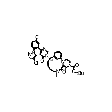 CC(C)(C)OC(=O)N1CCN2c3cccc(c3)[C@@H](n3cnc(-c4cc(Cl)ccc4-n4cc(Cl)nn4)cc3=O)CCCCNC(=O)[C@H]2C1